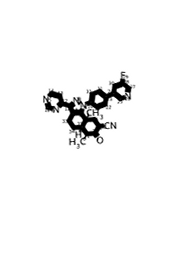 C[C@H]1C(=O)C(C#N)C[C@]2(C)c3c(c(-c4ccncn4)nn3-c3ccc(-c4cncc(F)c4)cc3)CC[C@H]12